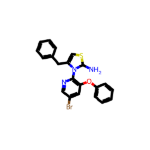 NC1SC=C(Cc2ccccc2)N1c1ncc(Br)cc1Oc1ccccc1